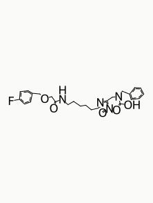 O=C(COCc1ccc(F)cc1)NCCCCCc1nc(CN(Cc2ccccc2)C(=O)O)no1